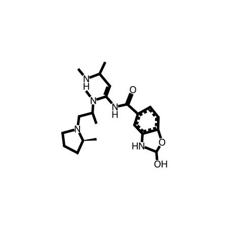 CNC(C)/C=C(/NC(=O)c1ccc2c(c1)NC(O)O2)N(C)C(C)CN1CCC[C@@H]1C